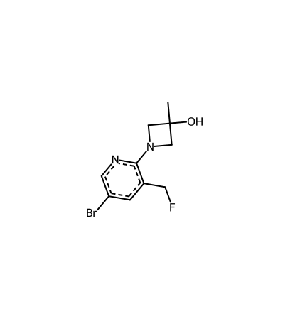 CC1(O)CN(c2ncc(Br)cc2CF)C1